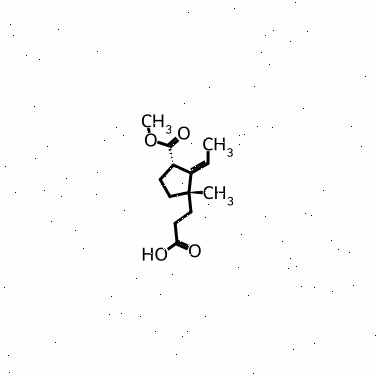 C/C=C1\[C@@H](C(=O)OC)CC[C@@]1(C)CCC(=O)O